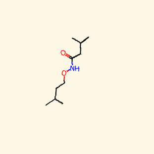 CC(C)CCONC(=O)CC(C)C